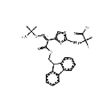 CC(C)(O/N=C(\C(=O)OCC1c2ccccc2-c2ccccc21)c1csc(N)n1)C(=O)O.O=C(O)C(F)(F)F